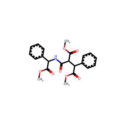 COC(=O)C(NC(=O)C(C(=O)OC)C(C(=O)OC)c1ccccc1)c1ccccc1